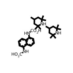 CC1CC(C)(C)NC(C)(C)C1.CC1CC(C)(C)NC(C)(C)C1.O=C(O)Nc1cccc2c(NC(=O)O)cccc12